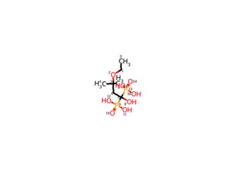 CCOC(C)(C)CC(O)(P(=O)(O)O)P(=O)(O)O